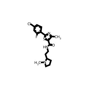 Cc1nc(-c2ccc(Cl)cc2F)sc1C(=O)NCCC1CCCN1C